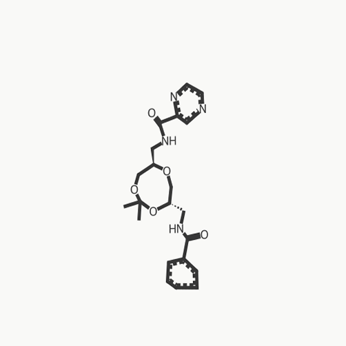 CC1(C)OC[C@@H](CNC(=O)c2cnccn2)OC[C@H](CNC(=O)c2ccccc2)O1